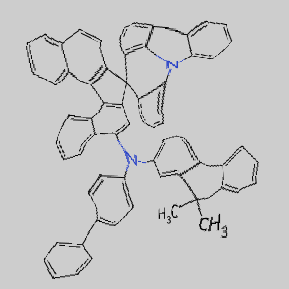 CC1(C)c2ccccc2-c2ccc(N(c3ccc(-c4ccccc4)cc3)c3cc4c(c5ccccc35)-c3c(ccc5ccccc35)C43c4ccccc4-n4c5ccccc5c5cccc3c54)cc21